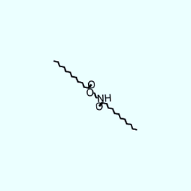 CCCCCCCCCCCC(=O)NCCOC(=O)CCCCCCCCCCC